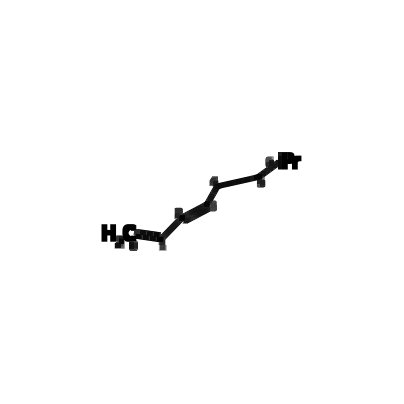 C=CC=CCCC(C)C